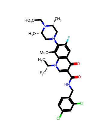 COc1c(N2C[C@@H](C)N(CC(=O)O)[C@@H](C)C2)c(F)cc2c(=O)c(C(=O)NCc3ccc(Cl)cc3Cl)cn([C@@H](C)C(F)(F)F)c12